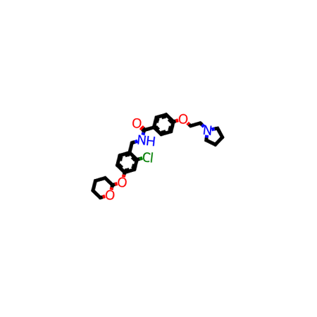 O=C(NCc1ccc(OC2CCCCO2)cc1Cl)c1ccc(OCCN2CCCC2)cc1